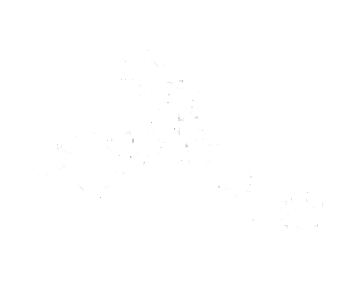 C=C1/C=C\C=C/O/C(c2ccc(N(c3ccc(-c4ccc(C5C=c6ccccc6=CC5)cc4)cc3)c3cccc(-c4ccccc4)c3)cc2)=C\C=C/C1=C